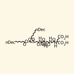 CCCCCCCCCCCCCCCC(=O)OC[C@@H](CSCCC(=O)N[C@@H](N)C(=O)NCC(=O)NCC(=O)NC(CCC(=O)O)C(=O)O)OC(=O)CCCCCCCCCCCCCCC